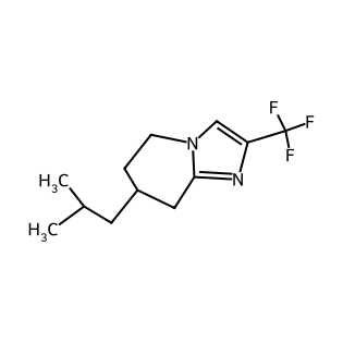 CC(C)CC1CCn2cc(C(F)(F)F)nc2C1